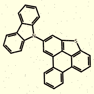 c1ccc2c(c1)c1cccc3sc4cc(-n5c6ccccc6c6ccccc65)cc2c4c31